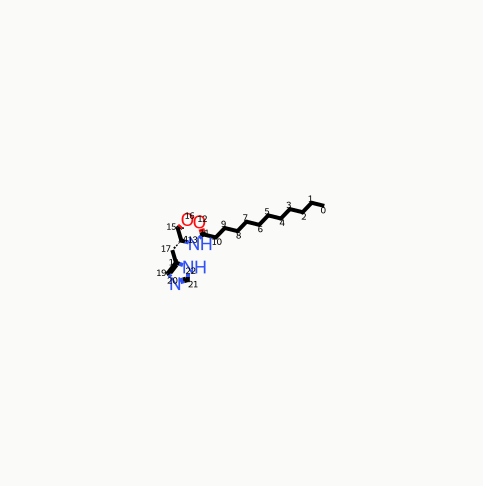 CCCCCCCCCCCC(=O)N[C@@H]([C]=O)Cc1cnc[nH]1